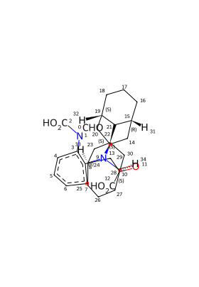 O=CN(C(=O)O)c1ccccc1N(C(=O)C(=O)O)[C@@H]1C[C@H]2CCC[C@@H](C1)C2[C@@H]1C[C@@H]2CCC[C@@H](C2)C1